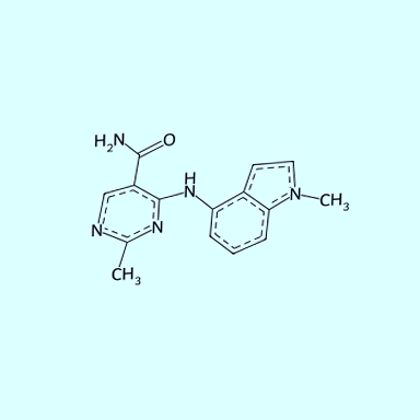 Cc1ncc(C(N)=O)c(Nc2cccc3c2ccn3C)n1